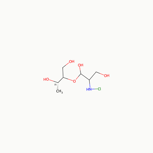 C[C@H](O)C(CO)OC(O)C(CO)NCl